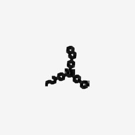 C=C(/C=C\C=C/C)c1ccc(-c2cc(-c3ccc(-c4cccnc4)cc3)nc(-c3ccc(-c4ccc5ccccc5c4)cc3)n2)cc1